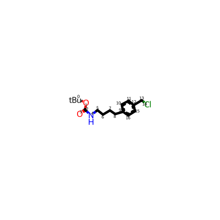 CC(C)(C)OC(=O)NCCCCc1ccc(CCl)cc1